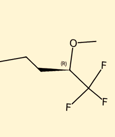 CCC[C@@H](OC)C(F)(F)F